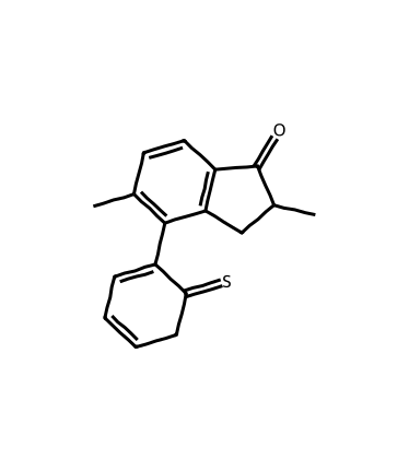 Cc1ccc2c(c1C1=CC=CCC1=S)CC(C)C2=O